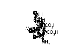 CNC(Cc1ccccc1)C(=O)NC(CS)C(=O)NC(Cc1ccccc1)C(=O)NC(CCCCN)C(=O)NC(CCC(=O)O)C(=O)NC(CC(C)C)C(=O)NC(CCC(=O)O)C(=O)NCC(=O)NC(Cc1c[nH]c2ccccc12)C(=O)O